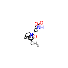 Cc1cccc(C23CCN(C(=O)[C@H]4C[C@]5(COC(=O)N5)C4)CC2C3)c1